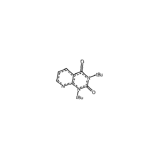 CC(C)(C)n1c(=O)c2cccnc2n(C(C)(C)C)c1=O